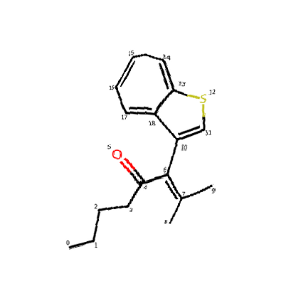 CCCCC(=O)C(=C(C)C)c1csc2ccccc12